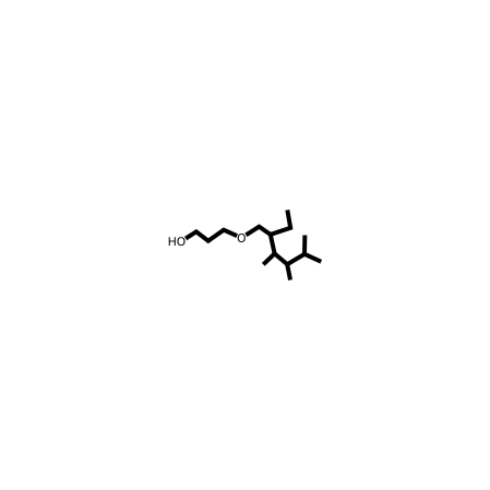 CCC(COCCCO)C(C)C(C)C(C)C